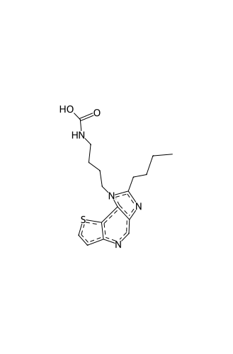 CCCCc1nc2cnc3ccsc3c2n1CCCCNC(=O)O